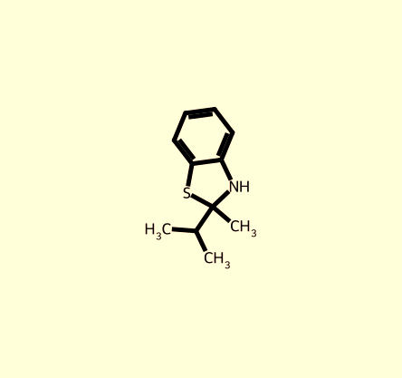 CC(C)C1(C)Nc2ccccc2S1